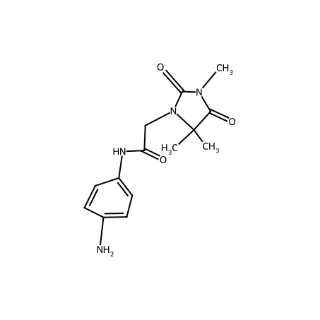 CN1C(=O)N(CC(=O)Nc2ccc(N)cc2)C(C)(C)C1=O